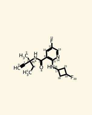 C#C[C@@](C)(CC)NC(=O)c1cc(F)cnc1NC1CC(F)C1